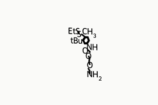 CCSSC(C)c1ccc(NC(=O)COCCOCCN)cc1C(C)(C)C